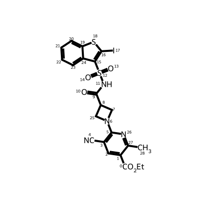 CCOC(=O)c1cc(C#N)c(N2CC(C(=O)NS(=O)(=O)c3c(I)sc4ccccc34)C2)nc1C